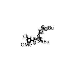 COc1ccc(Cl)cc1C(=O)/N=c1\sc(C(C)(C)C)cn1CC1CN(C(=O)OC(C)(C)C)C1